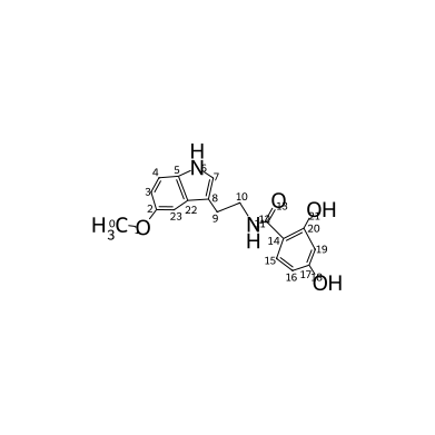 COc1ccc2[nH]cc(CCNC(=O)c3ccc(O)cc3O)c2c1